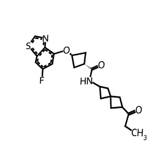 CCC(=O)C1CC2(CC(NC(=O)[C@H]3C[C@H](Oc4cc(F)cc5scnc45)C3)C2)C1